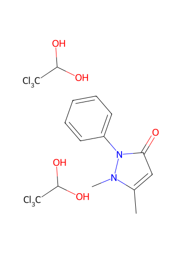 Cc1cc(=O)n(-c2ccccc2)n1C.OC(O)C(Cl)(Cl)Cl.OC(O)C(Cl)(Cl)Cl